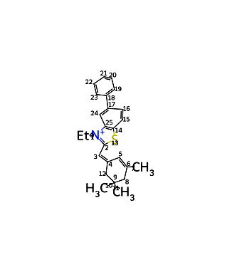 CC[n+]1c(/C=C2\C=C(C)CC(C)(C)C2)sc2ccc(-c3ccccc3)cc21